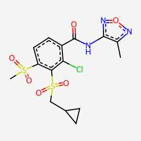 Cc1nonc1NC(=O)c1ccc(S(C)(=O)=O)c(S(=O)(=O)CC2CC2)c1Cl